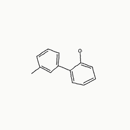 Cc1cccc(-c2ccccc2[O])c1